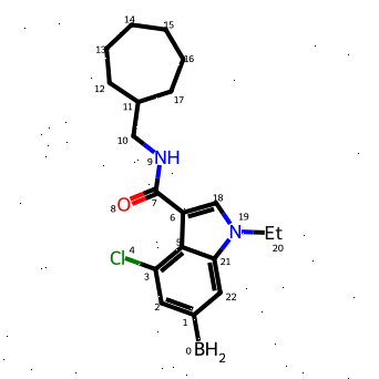 Bc1cc(Cl)c2c(C(=O)NCC3CCCCCC3)cn(CC)c2c1